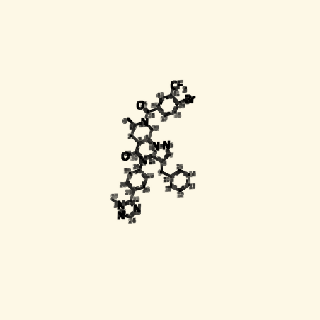 C[C@@H]1Cc2c(n3ncc(Cc4ccccc4)c3n(-c3ccc(-c4ncnn4C)cc3)c2=O)CN1C(=O)c1ccc(Br)c(C(F)(F)F)c1